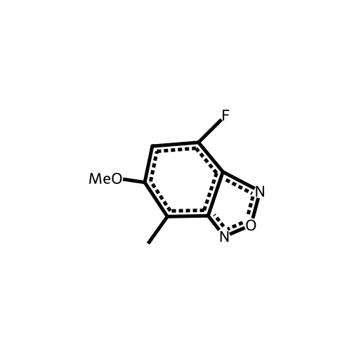 COc1cc(F)c2nonc2c1C